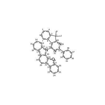 CC1(C)c2ccccc2-c2c(-n3c4ccccc4c4ccc5c6ccccc6oc5c43)nc(-c3ccccc3)nc21